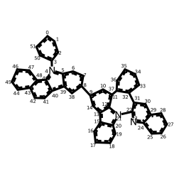 c1ccc(-n2c3ccc(-c4cc5c6c(c4)c4ccccc4n6-c4nc6ccccc6cc4-c4ccccc4-5)cc3c3ccc4ccccc4c32)cc1